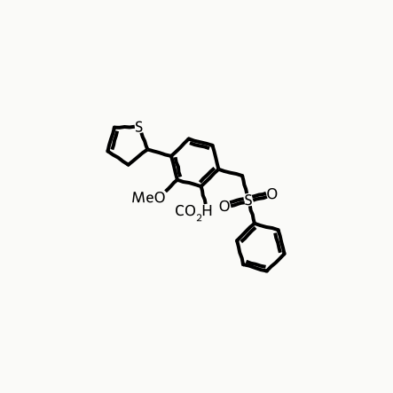 COc1c(C2CC=CS2)ccc(CS(=O)(=O)c2ccccc2)c1C(=O)O